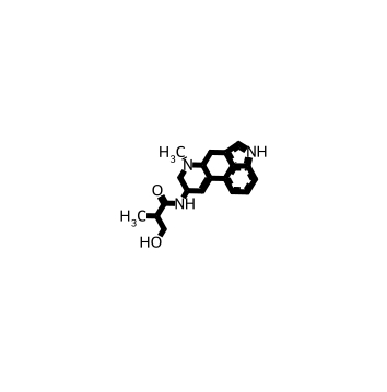 CC(CO)C(=O)NC1C=C2c3cccc4[nH]cc(c34)CC2N(C)C1